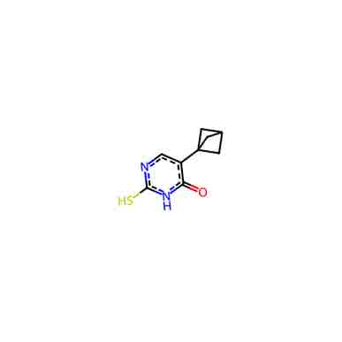 O=c1[nH]c(S)ncc1C12CC(C1)C2